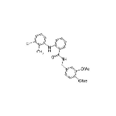 COc1ccc(CNC(=O)c2ccccc2Nc2cccc(Cl)c2C)cc1OC